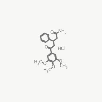 COc1cc(C(=O)CC(CC(N)=O)c2ccccc2)cc(OC)c1OC.Cl